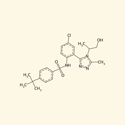 Cc1nnc(-c2cc(Cl)ccc2NS(=O)(=O)c2ccc(C(C)(C)C)cc2)n1C(C)CO